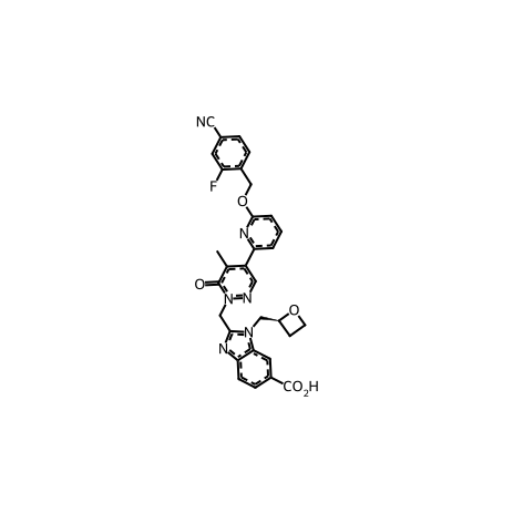 Cc1c(-c2cccc(OCc3ccc(C#N)cc3F)n2)cnn(Cc2nc3ccc(C(=O)O)cc3n2C[C@@H]2CCO2)c1=O